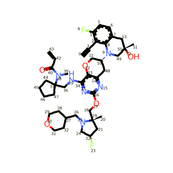 C#Cc1c(F)ccc2c1N([C@H]1COc3c(nc(OC[C@]4(C)C[C@@H](F)CN4CC4CCOCC4)nc3NCC3(N(C)C(=O)C=C)CCCC3)C1)C[C@@](C)(O)C2